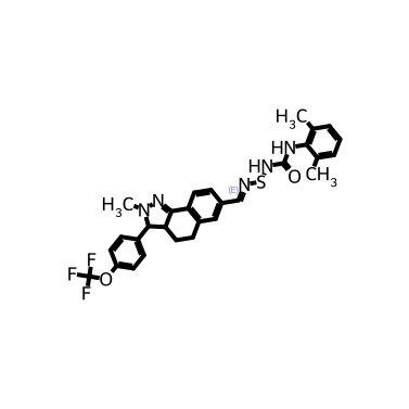 Cc1cccc(C)c1NC(=O)NS/N=C/c1ccc2c(c1)CCC1C2=NN(C)C1c1ccc(OC(F)(F)F)cc1